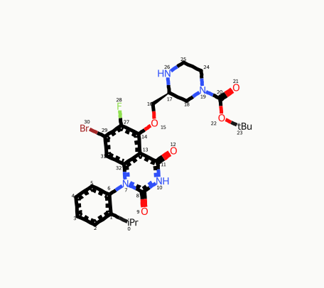 CC(C)c1ccccc1-n1c(=O)[nH]c(=O)c2c(OC[C@@H]3CN(C(=O)OC(C)(C)C)CCN3)c(F)c(Br)cc21